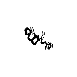 c1ccc2c(c1)CCc1ccc(NCCn3cncn3)cc1N2